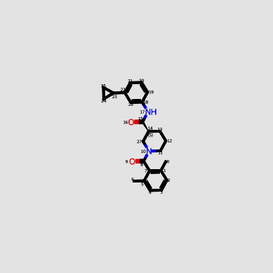 Cc1cccc(C)c1C(=O)N1CCC[C@H](C(=O)Nc2cccc(C3CC3)c2)C1